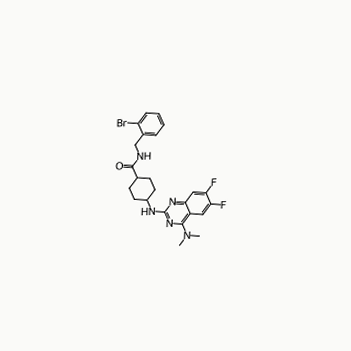 CN(C)c1nc(NC2CCC(C(=O)NCc3ccccc3Br)CC2)nc2cc(F)c(F)cc12